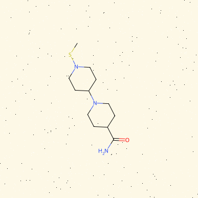 CSN1CCC(N2CCC(C(N)=O)CC2)CC1